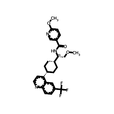 COC[C@@H](NC(=O)c1ccc(OC)nc1)[C@H]1CC[C@@H](c2ccnc3ccc(C(F)(F)F)cc32)CC1